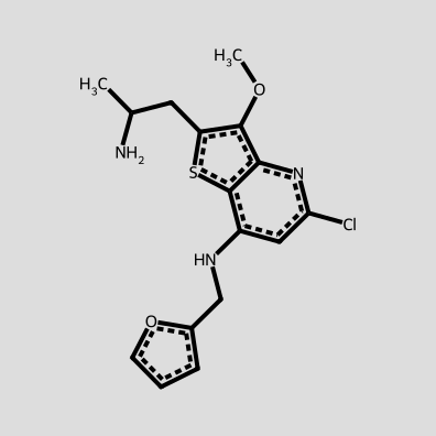 COc1c(CC(C)N)sc2c(NCc3ccco3)cc(Cl)nc12